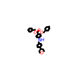 O=C(OCc1ccccc1)c1ccc(NCc2ccc(C3CCOCC3)cc2)cc1OCc1ccccc1